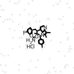 Cc1ccc(Cn2c(C)c(C)c3nccc(C(Cc4ccc(F)cc4)C(C)(C)OC(N)=O)c32)cc1.Cl